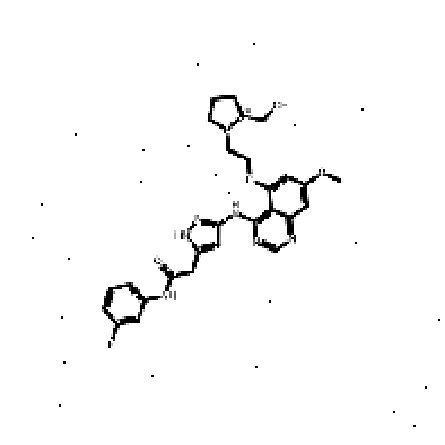 COc1cc(OCCN2CCC[C@H]2CO)c2c(Nc3cc(CC(=O)Nc4cccc(F)c4)[nH]n3)ncnc2c1